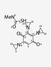 CNC(=O)S.O=C1C=C(N2CC2)C(=O)C(N2CC2)=C1N1CC1